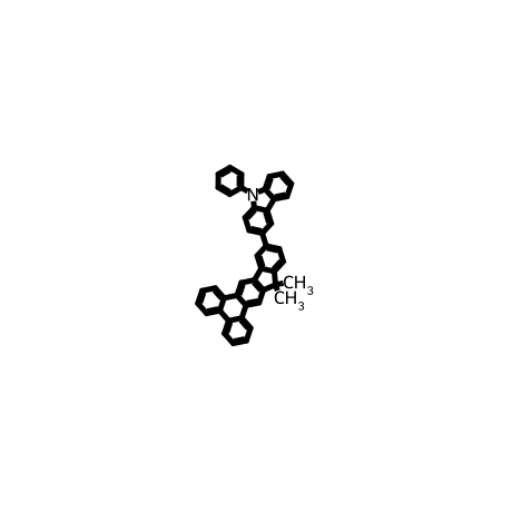 CC1(C)c2ccc(-c3ccc4c(c3)c3ccccc3n4-c3ccccc3)cc2-c2cc3c4ccccc4c4ccccc4c3cc21